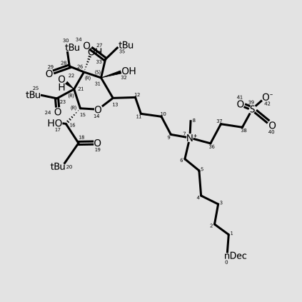 CCCCCCCCCCCCCCCC[N+](C)(CCCCC1O[C@H](C(O)C(=O)C(C)(C)C)[C@](O)(C(=O)C(C)(C)C)[C@@](O)(C(=O)C(C)(C)C)[C@]1(O)C(=O)C(C)(C)C)CCCS(=O)(=O)[O-]